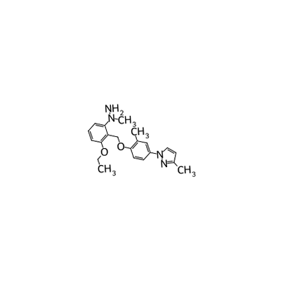 CCOc1cccc(N(C)N)c1COc1ccc(-n2ccc(C)n2)cc1C